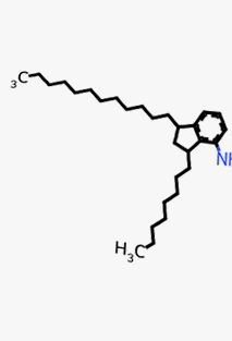 CCCCCCCCCCCCC1CC(CCCCCCCC)c2c(N)cccc21